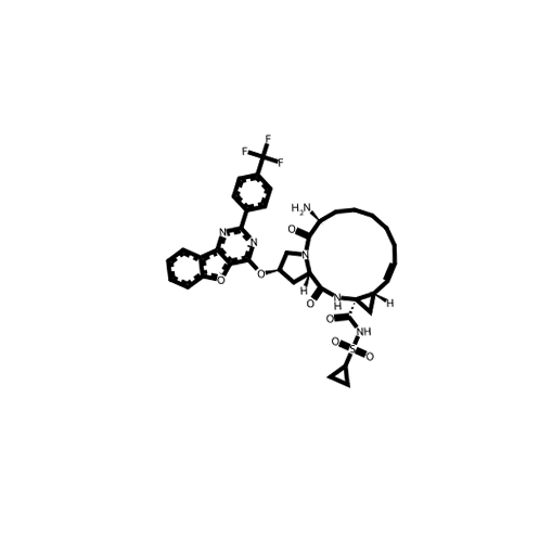 N[C@H]1CCCCC/C=C\[C@@H]2C[C@@]2(C(=O)NS(=O)(=O)C2CC2)NC(=O)[C@@H]2C[C@@H](Oc3nc(-c4ccc(C(F)(F)F)cc4)nc4c3oc3ccccc34)CN2C1=O